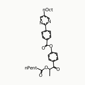 CCCCCCCCc1cnc(-c2ccc(C(=O)Oc3ccc(C(=O)C(C)OC(=O)CCCCC)cc3)cc2)nc1